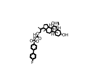 CC[C@H]1[C@@H](O)[C@@H]2[C@H](CC[C@]3(C)[C@@H]([C@H](C)COC(=O)NS(=O)(=O)c4ccc(-c5ccc(F)cc5)cc4)CC[C@@H]23)[C@@]2(C)CC[C@@H](O)C[C@@H]12